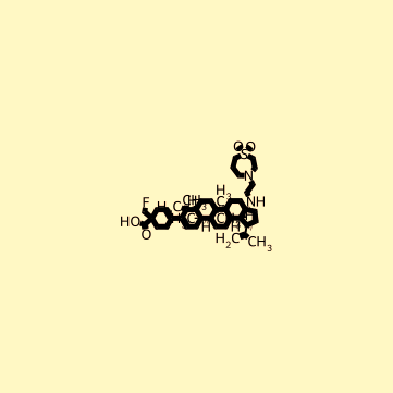 C=C(C)[C@@H]1CC[C@]2(NCCN3CCCS(=O)(=O)CC3)CC[C@]3(C)[C@H](CC[C@@H]4[C@@]5(C)CC=C(C6=CCC(CF)(C(=O)O)CC6)C(C)(C)[C@@H]5CC[C@]43C)[C@@H]12